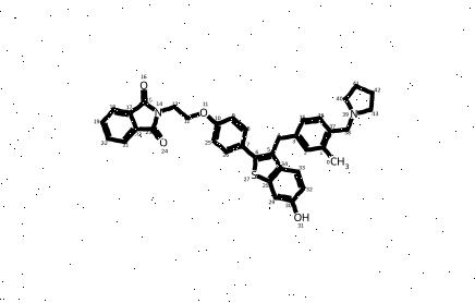 Cc1cc(Cc2c(-c3ccc(OCCN4C(=O)c5ccccc5C4=O)cc3)sc3cc(O)ccc23)ccc1CN1CCCC1